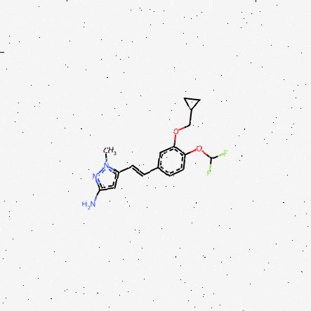 Cn1nc(N)cc1C=Cc1ccc(OC(F)F)c(OCC2CC2)c1